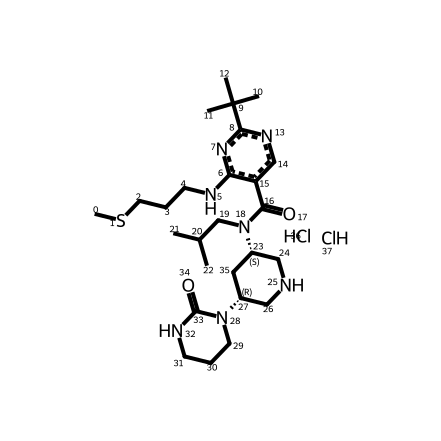 CSCCCNc1nc(C(C)(C)C)ncc1C(=O)N(CC(C)C)[C@@H]1CNC[C@H](N2CCCNC2=O)C1.Cl.Cl